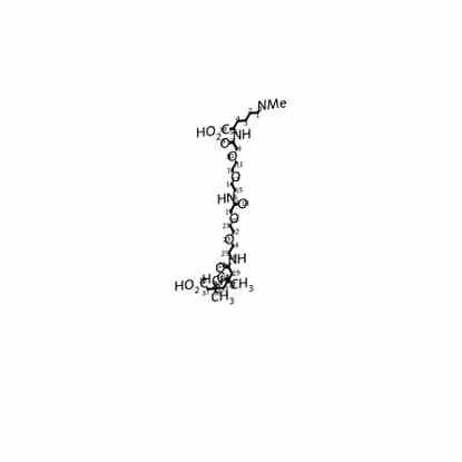 CNCCCCC(NC(=O)COCCOCCNC(=O)COCCOCCNC(=O)CC(C)(C)CC(C)(C)CC(=O)O)C(=O)O